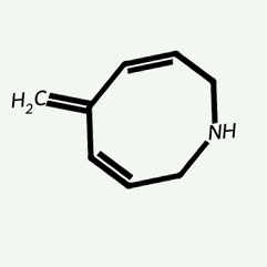 C=C1/C=C\CNC/C=C\1